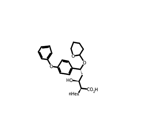 CCCCCC[C@H](C(=O)O)[C@@H](O)C[C@@H](OC1CCCCO1)c1ccc(Oc2ccccc2)cc1